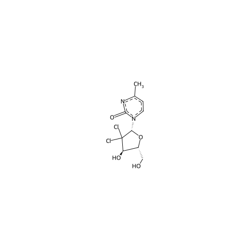 Cc1ccn([C@@H]2O[C@H](CO)[C@@H](O)C2(Cl)Cl)c(=O)n1